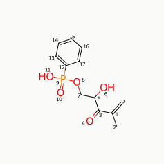 C=C(C)C(=O)C(O)COP(=O)(O)c1ccccc1